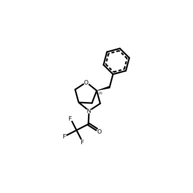 O=C(N1C[C@]2(Cc3ccccc3)CC1CO2)C(F)(F)F